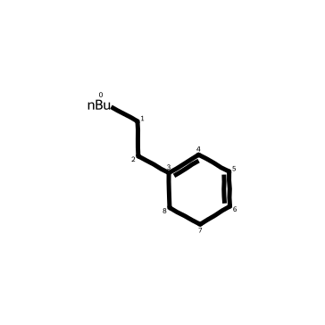 CCCCCCC1=CC=CCC1